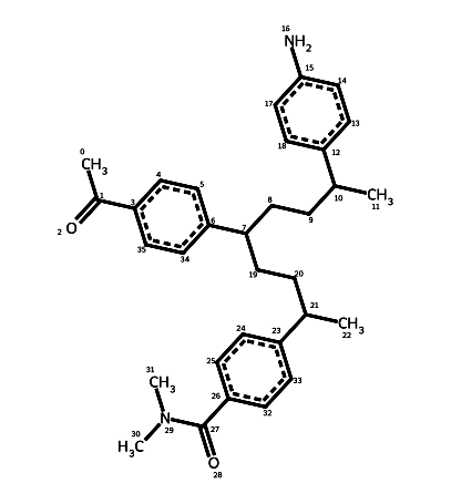 CC(=O)c1ccc(C(CCC(C)c2ccc(N)cc2)CCC(C)c2ccc(C(=O)N(C)C)cc2)cc1